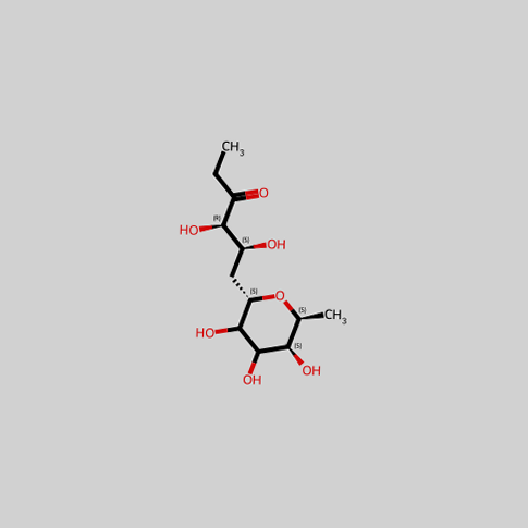 CCC(=O)[C@H](O)[C@@H](O)C[C@@H]1O[C@@H](C)[C@@H](O)C(O)C1O